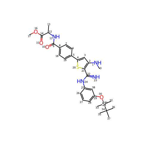 CNc1cc(-c2ccc(C(=O)NC(C)C(=O)OC)cc2)sc1C(=N)Nc1cccc(O[Si](C)(C)C(C)(C)C)c1